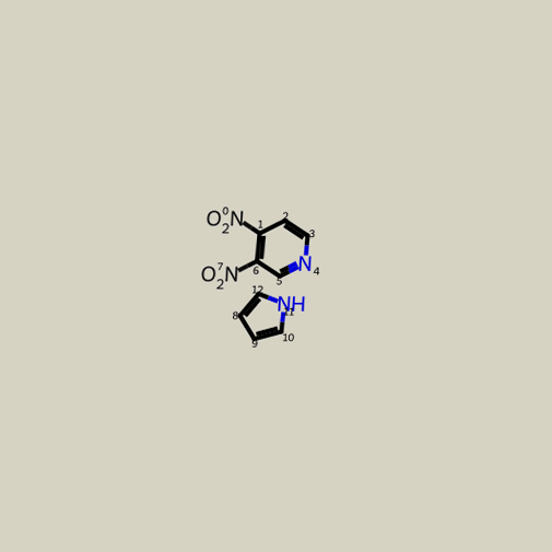 O=[N+]([O-])c1ccncc1[N+](=O)[O-].c1cc[nH]c1